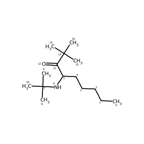 CCCCCC(NC(C)(C)C)C(=O)C(C)(C)C